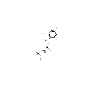 Cc1cc(Br)ccc1[S+]([O-])NC(C)(C)C(=O)OC(C)(C)C